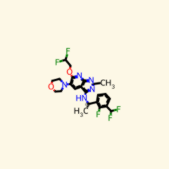 Cc1nc(N[C@H](C)c2cccc(C(F)F)c2F)c2cc(N3CCOCC3)c(OCC(F)F)nc2n1